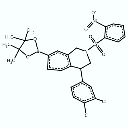 CC1(C)OB(c2ccc3c(c2)CN(S(=O)(=O)c2ccccc2[N+](=O)[O-])CC3c2ccc(Cl)c(Cl)c2)OC1(C)C